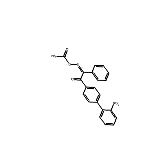 CCCC(=O)O/N=C(\C(=O)c1ccc(-c2ccccc2[N+](=O)[O-])cc1)c1ccccc1